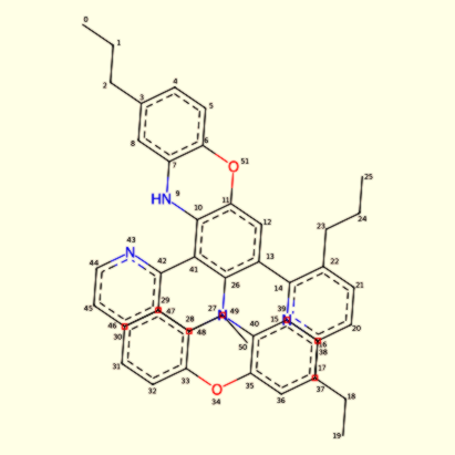 CCCc1ccc2c(c1)Nc1c(cc(-c3nc(CCC)ccc3CCC)c(N3c4ccccc4Oc4ccccc43)c1-c1ncccc1CCC)O2